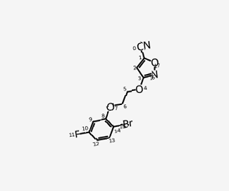 N#Cc1cc(OCCOc2cc(F)ccc2Br)no1